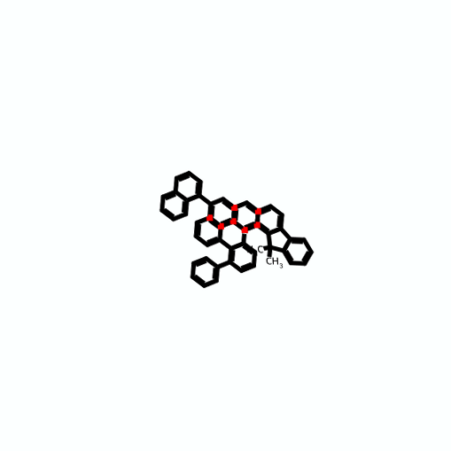 CC1(C)c2ccccc2-c2cccc(N(c3ccc(-c4cccc5ccccc45)cc3)c3cccc(-c4ccccc4)c3-c3ccccc3-c3ccccc3)c21